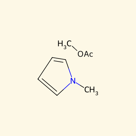 COC(C)=O.Cn1cccc1